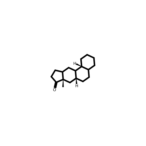 C[C@]12C[C@H]3CCC4CCCC[C@H]4C3CC1CCC2=O